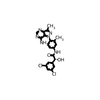 Cc1cc(NC(=O)[C@H](O)c2cc(Cl)cc(Cl)c2)ccc1-n1nc(C)c2ncnc(N)c21